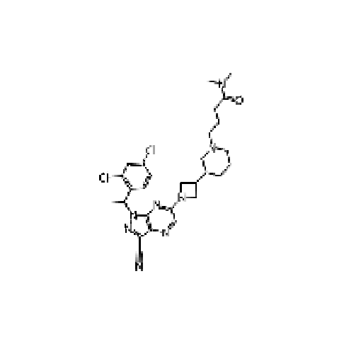 CC(c1ccc(Cl)cc1Cl)n1nc(C#N)c2ncc(N3CC(C4CCCN(CCCC(=O)N(C)C)C4)C3)nc21